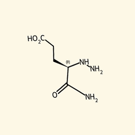 NN[C@H](CCC(=O)O)C(N)=O